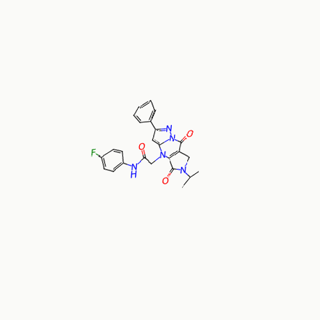 CC(C)N1Cc2c(n(CC(=O)Nc3ccc(F)cc3)c3cc(-c4ccccc4)nn3c2=O)C1=O